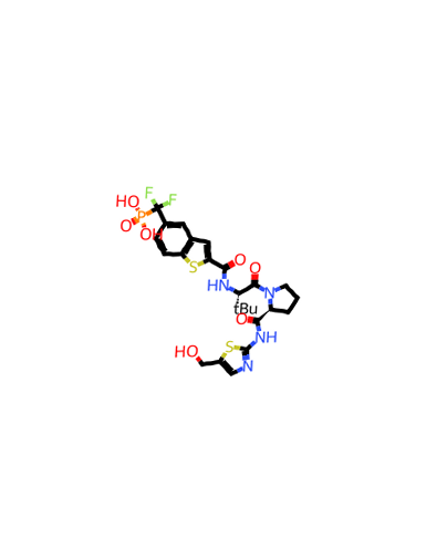 CC(C)(C)[C@H](NC(=O)c1cc2cc(C(F)(F)P(=O)(O)O)ccc2s1)C(=O)N1CCC[C@H]1C(=O)Nc1ncc(CO)s1